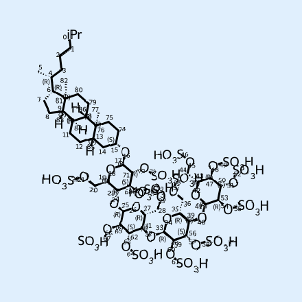 CC(C)CCC[C@@H](C)[C@H]1CC[C@H]2[C@@H]3CC[C@H]4C[C@@H](O[C@@H]5O[C@H](COS(=O)(=O)O)[C@@H](O[C@H]6O[C@H](COS(=O)(=O)O)[C@@H](O[C@H]7O[C@H](COS(=O)(=O)O)[C@@H](O[C@H]8O[C@H](COS(=O)(=O)O)[C@@H](OS(=O)(=O)O)[C@H](OS(=O)(=O)O)[C@H]8OS(=O)(=O)O)[C@H](OS(=O)(=O)O)[C@H]7OS(=O)(=O)O)[C@H](OS(=O)(=O)O)[C@H]6OS(=O)(=O)O)[C@H](OS(=O)(=O)O)[C@H]5OS(=O)(=O)O)CC[C@]4(C)[C@H]3CC[C@]12C